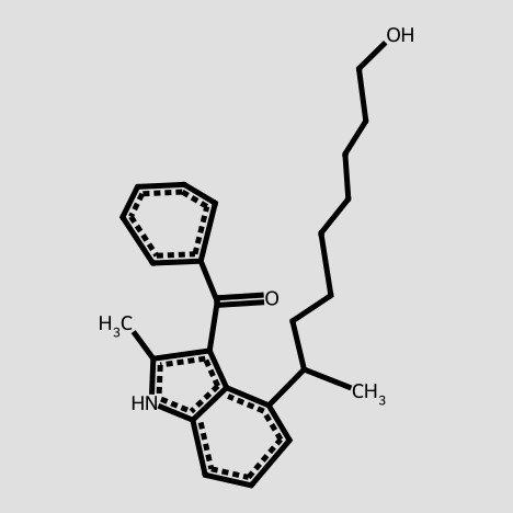 Cc1[nH]c2cccc(C(C)CCCCCCCO)c2c1C(=O)c1ccccc1